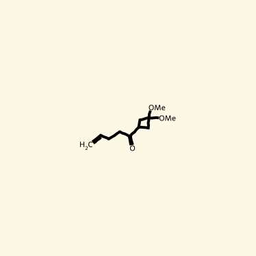 C=CCCC(=O)C1CC(OC)(OC)C1